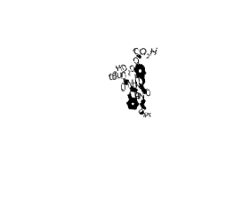 CC(C)OCCCNC(=O)[C@H](Cc1ccc(OCC(=O)O)c(C(=O)O)c1)NC(=O)[C@H](Cc1ccccc1)NC(=O)OC(C)(C)C